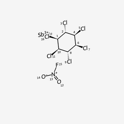 Cl[C@H]1[C@H](Cl)[C@@H](Cl)[C@@H](Cl)[C@H](Cl)[C@H]1Cl.O=[N+]([O-])F.[Sb+3]